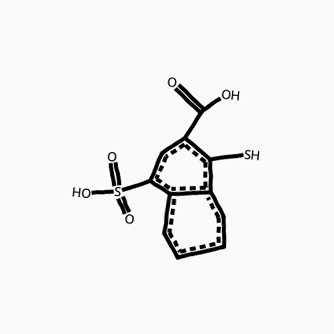 O=C(O)c1cc(S(=O)(=O)O)c2ccccc2c1S